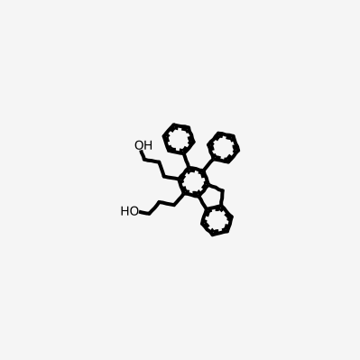 OCCCc1c(CCCO)c(-c2ccccc2)c(-c2ccccc2)c2c1-c1ccccc1C2